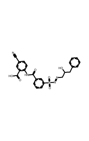 N#Cc1ccc(NC(=O)c2cccc(S(=O)(=O)N=NCC(O)Cc3ccccc3)c2)c(C(=O)O)c1